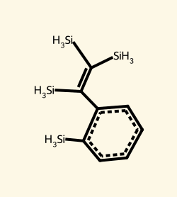 [SiH3]C([SiH3])=C([SiH3])c1ccccc1[SiH3]